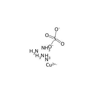 N.N.N.N.O=S(=O)([O-])[O-].[Cu+2]